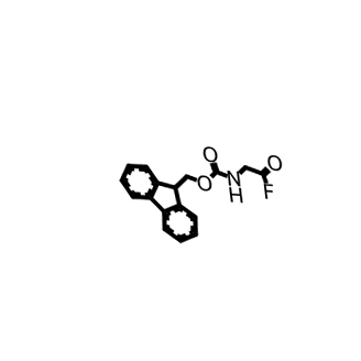 O=C(F)CNC(=O)OCC1c2ccccc2-c2ccccc21